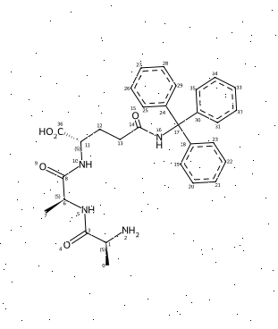 C[C@H](N)C(=O)N[C@@H](C)C(=O)N[C@@H](CCC(=O)NC(c1ccccc1)(c1ccccc1)c1ccccc1)C(=O)O